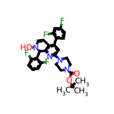 CC(C)(C)OC(=O)N1CCN(c2cc(-c3ccc(F)cc3F)c3c(n2)C(c2c(F)cccc2F)N(O)C=C3)CC1